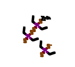 CCP(=S)([S-])CC.CCP(=S)([S-])CC.CCP(=S)([S-])CC.[Zr+3]